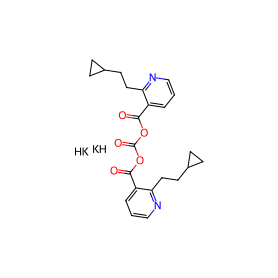 O=C(OC(=O)c1cccnc1CCC1CC1)OC(=O)c1cccnc1CCC1CC1.[KH].[KH]